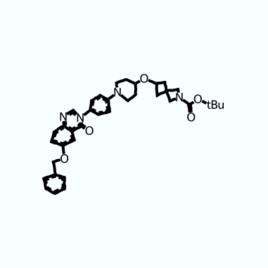 CC(C)(C)OC(=O)N1CC2(CC(OC3CCN(c4ccc(-n5cnc6ccc(OCc7ccccc7)cc6c5=O)cc4)CC3)C2)C1